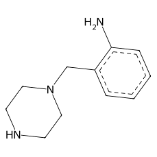 Nc1ccccc1CN1CCNCC1